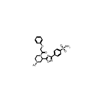 CC(=O)N1CCN(C(=O)COc2ccccc2)C(c2nc(-c3ccc(S(N)(=O)=O)cc3)no2)C1